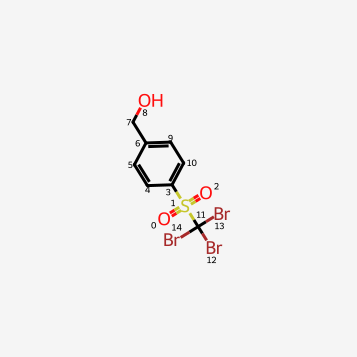 O=S(=O)(c1ccc(CO)cc1)C(Br)(Br)Br